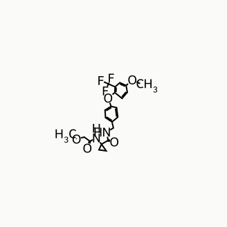 COCC(=O)NC1(C(=O)NCc2ccc(Oc3ccc(OC)cc3C(F)(F)F)cc2)CC1